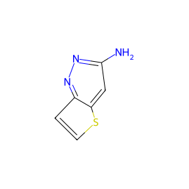 Nc1cc2sccc2nn1